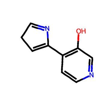 Oc1cnccc1C1=CCC=N1